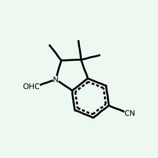 CC1N(C=O)c2ccc(C#N)cc2C1(C)C